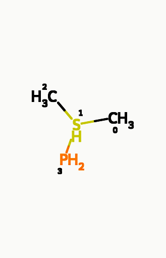 C[SH](C)P